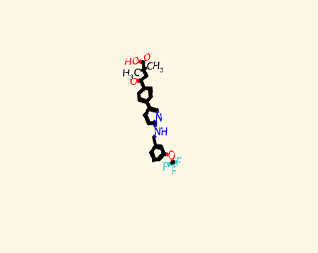 CC(C)(CC(=O)c1ccc(-c2ccc(NCc3cccc(OC(F)(F)F)c3)nc2)cc1)C(=O)O